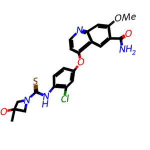 COc1cc2nccc(Oc3ccc(NC(=S)N4CC(C)(O)C4)c(Cl)c3)c2cc1C(N)=O